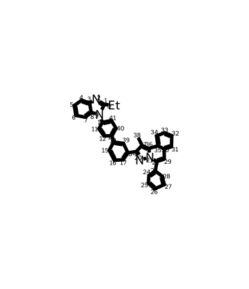 CCc1nc2ccccc2n1-c1ccc(-c2cccc(-c3nn4c(-c5ccccc5)cc5ccccc5c4c3C)c2)cc1